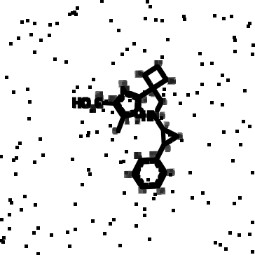 Cc1oc(C2(CNC3CC3c3ccccc3)CCC2)nc1C(=O)O